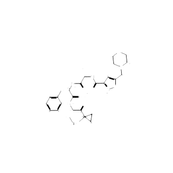 CC[C@H](NC(=O)c1cc(CN2CCOCC2)on1)C(=O)N[C@@H](Cc1ccccc1)C(=O)N[C@@H](CC(C)C)C(=O)C1(C)CC1